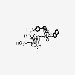 Nc1ccc(-c2ccn(CC(=O)N[C@@H](Cc3ccc4ccccc4c3)C(=O)NCCCC[C@H](NC(=O)N[C@@H](CCC(=O)O)C(=O)O)C(=O)O)n2)cc1